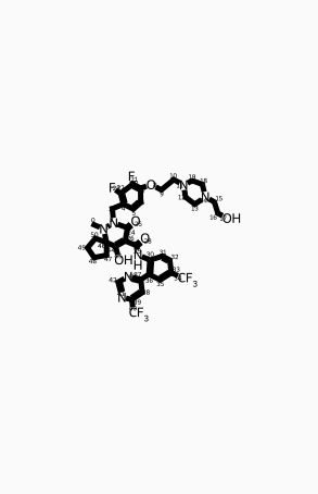 CN1N(Cc2ccc(OCCN3CCN(CCO)CC3)c(F)c2F)C(=O)C(C(=O)Nc2ccc(C(F)(F)F)cc2-c2cc(C(F)(F)F)ncn2)=C(O)C12CCCC2